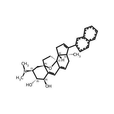 CN(C)[C@H]1C[C@@]23CC[C@@]4(O2)C(=CC[C@]2(C)C(c5ccc6ccccc6c5)=CC[C@H]24)C=C3[C@@H](O)[C@@H]1O